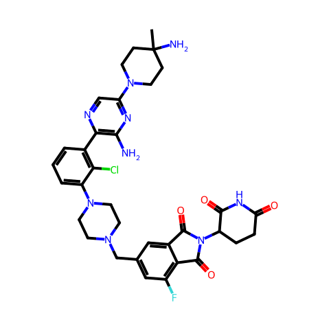 CC1(N)CCN(c2cnc(-c3cccc(N4CCN(Cc5cc(F)c6c(c5)C(=O)N(C5CCC(=O)NC5=O)C6=O)CC4)c3Cl)c(N)n2)CC1